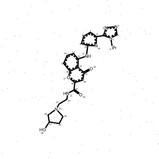 CC(C)n1cnnc1-c1cccc(Nc2cccc3oc(C(=O)NCCN4CCC(O)C4)cc(=O)c23)n1